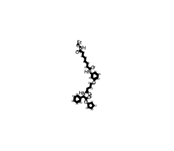 CCONC(=O)CCCCCCC(=O)Nc1cccc(OCCCC(=O)N[C@H](C(=O)OC2CCCC2)c2ccccc2)c1